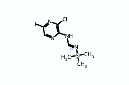 C[Si](C)(C)/N=C/Nc1ncc(I)nc1Cl